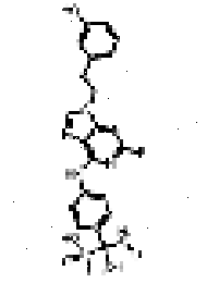 O=[PH2]C(O)(c1ccc(Nc2nc(F)nc3c2ncn3CCc2cccc(O)c2)cc1)P(=O)(O)O